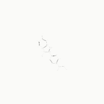 CCN(C)c1ccc(-c2nc3cc(I)ccc3n2C)cc1